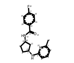 Cc1cccc(N[C@H]2CC[C@@H](NC(=O)c3ccc(F)cc3)C2)n1